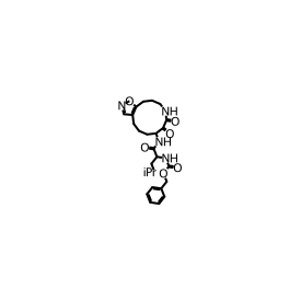 CC(C)CC(NC(=O)OCc1ccccc1)C(=O)NC1CCCc2cnoc2CCCNC(=O)C1=O